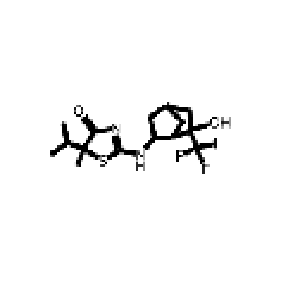 CC(C)C1(C)SC(NC2CC3CC2C(O)(C(F)(F)F)C3)=NC1=O